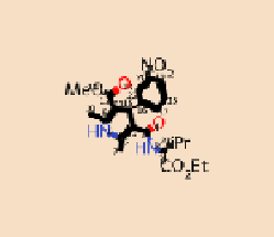 CCOC(=O)[C@H](NC(=O)C1=C(C)NC(C)=C(C(=O)OC)[C@H]1c1cccc([N+](=O)[O-])c1)C(C)C